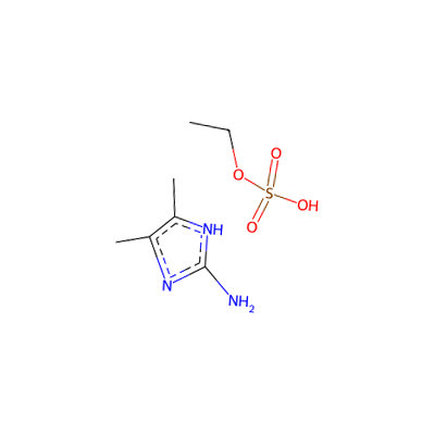 CCOS(=O)(=O)O.Cc1nc(N)[nH]c1C